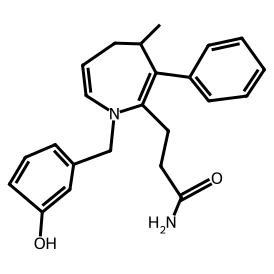 CC1CC=CN(Cc2cccc(O)c2)C(CCC(N)=O)=C1c1ccccc1